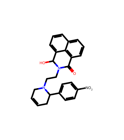 O=C1c2cccc3cccc(c23)C(O)N1CCN1CC=CCC1c1ccc([N+](=O)[O-])cc1